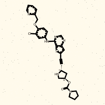 O=C(O[C@H]1CN[C@H](C#Cc2cc3ncnc(Nc4ccc(OCc5ccccn5)c(Cl)c4)c3s2)C1)N1CCCC1